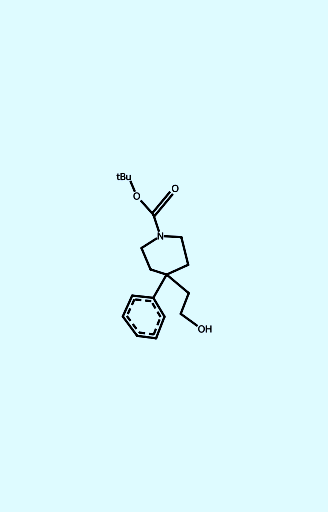 CC(C)(C)OC(=O)N1CCC(CCO)(c2ccccc2)CC1